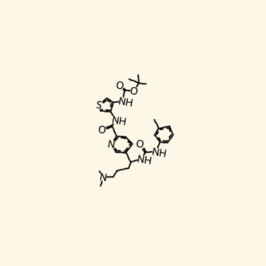 Cc1cccc(NC(=O)NC(CCCN(C)C)c2ccc(C(=O)Nc3cscc3NC(=O)OC(C)(C)C)nc2)c1